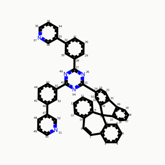 C1=Cc2ccccc2C2(c3ccccc31)c1ccccc1-c1ccc(-c3nc(-c4cccc(-c5cccnc5)c4)nc(-c4cccc(-c5cccnc5)c4)n3)cc12